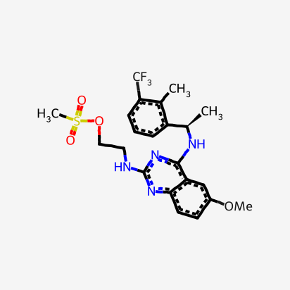 COc1ccc2nc(NCCOS(C)(=O)=O)nc(N[C@H](C)c3cccc(C(F)(F)F)c3C)c2c1